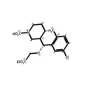 CCOC(=O)CO[C@@H](c1cc(Cl)ccc1C)C1CCCN(C(=O)O)C1